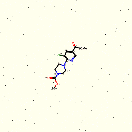 COC(=O)c1cnc(N2CCN(C(=O)OC(C)(C)C)CC2)c(Cl)c1